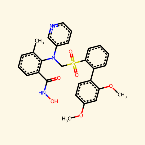 COc1ccc(-c2ccccc2S(=O)(=O)CN(c2cccnc2)c2c(C)cccc2C(=O)NO)c(OC)c1